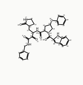 O=C(NCc1ccccc1)C(=O)C(CC1CCNC1=O)NC(=O)C1CC(Oc2ccccc2)CN1C(=O)c1cc2ccccc2[nH]1